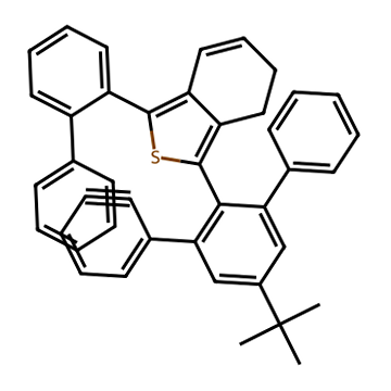 CC(C)(C)c1cc(-c2c#cccc2)c(-c2sc(-c3ccccc3-c3ccccc3)c3c2CCC=C3)c(-c2ccccc2)c1